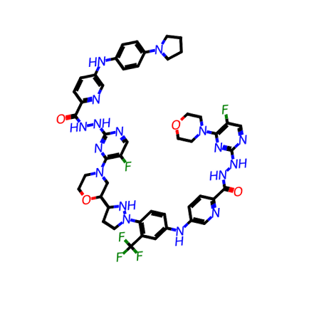 O=C(NNc1ncc(F)c(N2CCOCC2)n1)c1ccc(Nc2ccc(N3CCC(C4CN(c5nc(NNC(=O)c6ccc(Nc7ccc(N8CCCC8)cc7)cn6)ncc5F)CCO4)N3)c(C(F)(F)F)c2)cn1